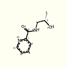 C[C@H](O)CNC(=O)c1ccccn1